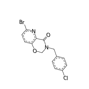 O=C1c2nc(Br)ccc2OCN1Cc1ccc(Cl)cc1